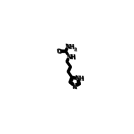 NC(=O)NCCCc1cnc[nH]1